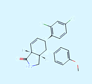 COc1ccc([C@@H]2[C@@H]3CNC(=O)[C@@H]3C=C[C@H]2c2ccc(Cl)cc2Cl)cc1